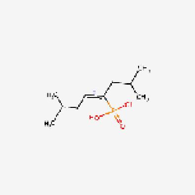 CC(C)C/C=C(/CC(C)C)P(=O)(O)O